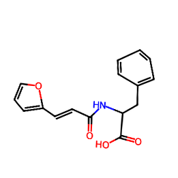 O=C(C=Cc1ccco1)NC(Cc1ccccc1)C(=O)O